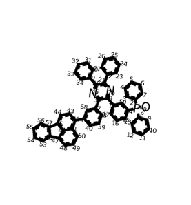 O=P(c1ccccc1)(c1ccccc1)c1cccc(-c2nc(-c3ccccc3)c(-c3ccccc3)nc2-c2cccc(-c3ccc4c5c(cccc35)-c3ccccc3-4)c2)c1